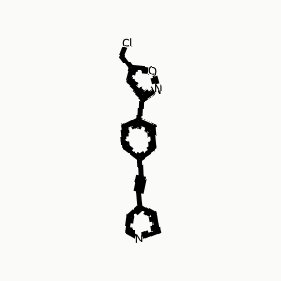 ClCc1cc(-c2ccc(C#Cc3ccncc3)cc2)no1